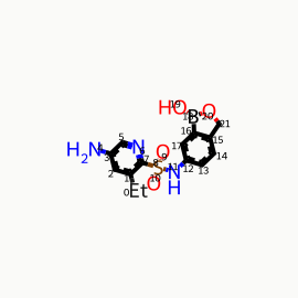 CCc1cc(N)cnc1S(=O)(=O)Nc1ccc2c(c1)B(O)OC2